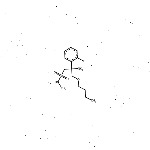 CCCCOCC(N)(CS(=O)(=O)NC)c1ccccc1F